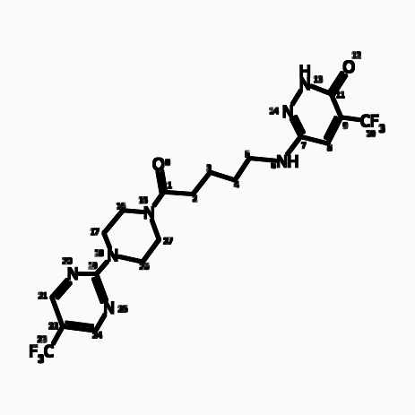 O=C(CCCCNc1cc(C(F)(F)F)c(=O)[nH]n1)N1CCN(c2ncc(C(F)(F)F)cn2)CC1